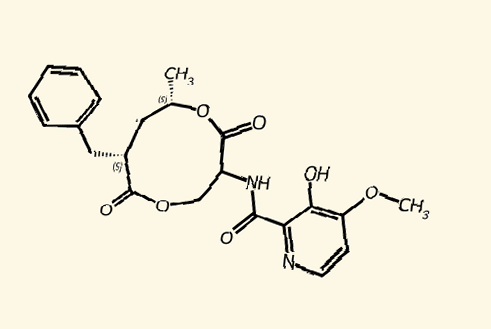 COc1ccnc(C(=O)NC2COC(=O)[C@H](Cc3ccccc3)[CH][C@H](C)OC2=O)c1O